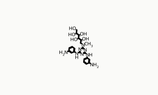 CN(C[C@H](O)[C@@H](O)[C@H](O)[C@H](O)CO)c1nc(Nc2cccc(N)c2)nc(Nc2cccc(N)c2)n1